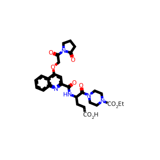 CCOC(=O)N1CCN(C(=O)C(CCC(=O)O)NC(=O)c2cc(OCC(=O)N3CCCC3=O)c3ccccc3n2)CC1